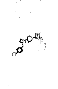 Nc1nnc(N2CCC(N3CC[C@@H]3Cc3ccc(Cl)cc3)CC2)[nH]1